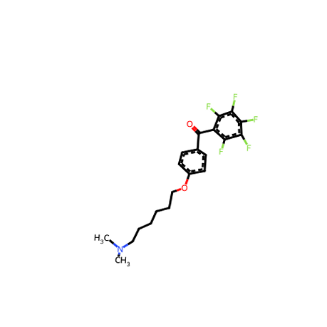 CN(C)CCCCCCOc1ccc(C(=O)c2c(F)c(F)c(F)c(F)c2F)cc1